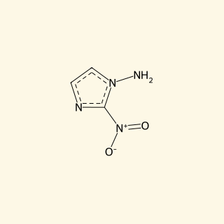 Nn1ccnc1[N+](=O)[O-]